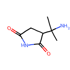 CC(C)(N)C1CC(=O)NC1=O